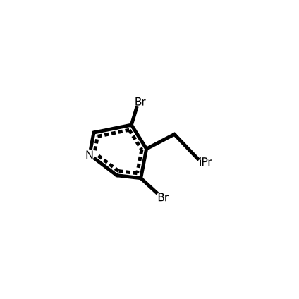 CC(C)Cc1c(Br)cncc1Br